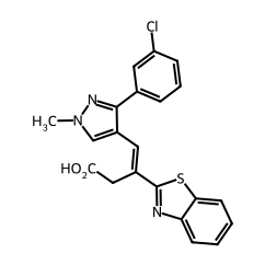 Cn1cc(/C=C(\CC(=O)O)c2nc3ccccc3s2)c(-c2cccc(Cl)c2)n1